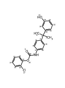 CC(C)(c1ccc(NC(=O)Oc2ccccc2Cl)cc1)c1cccc(O)c1